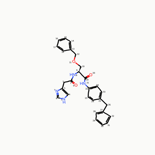 O=C(Cc1c[nH]cn1)N[C@@H](COCc1ccccc1)C(=O)Nc1ccc(Cc2ccccc2)cc1